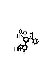 COC(=O)Nc1cc(Nc2cccnc2)cc(-c2ccc(F)c3[nH]ccc23)c1